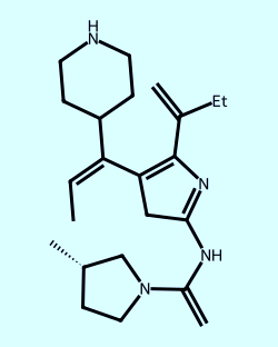 C=C(CC)C1=C(/C(=C\C)C2CCNCC2)CC(NC(=C)N2CC[C@H](C)C2)=N1